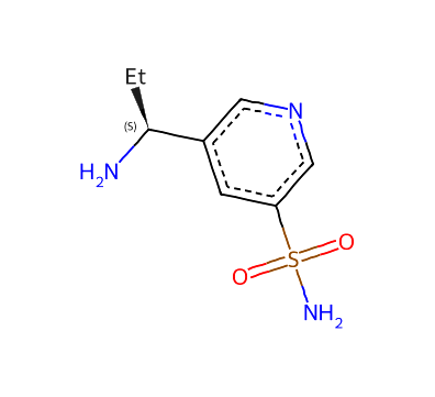 CC[C@H](N)c1cncc(S(N)(=O)=O)c1